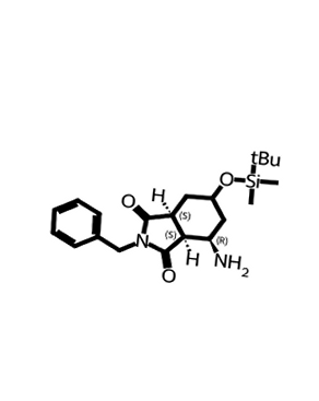 CC(C)(C)[Si](C)(C)OC1C[C@@H](N)[C@H]2C(=O)N(Cc3ccccc3)C(=O)[C@H]2C1